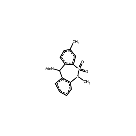 CNC1c2ccccc2N(C)S(=O)(=O)c2cc(C)ccc21